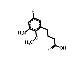 COc1c(N)cc(F)cc1CCCC(=O)O